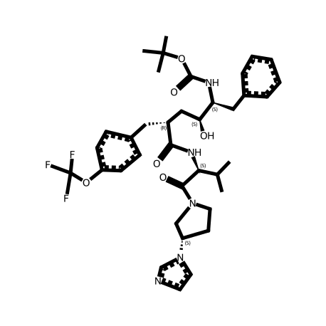 CC(C)[C@H](NC(=O)[C@H](Cc1ccc(OC(F)(F)F)cc1)C[C@H](O)[C@H](Cc1ccccc1)NC(=O)OC(C)(C)C)C(=O)N1CC[C@H](n2ccnc2)C1